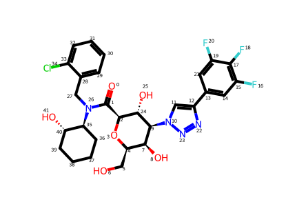 O=C([C@@H]1O[C@H](CO)[C@H](O)[C@H](n2cc(-c3cc(F)c(F)c(F)c3)nn2)[C@H]1O)N(Cc1ccccc1Cl)[C@H]1CCCC[C@@H]1O